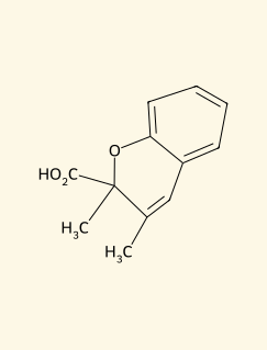 CC1=Cc2ccccc2OC1(C)C(=O)O